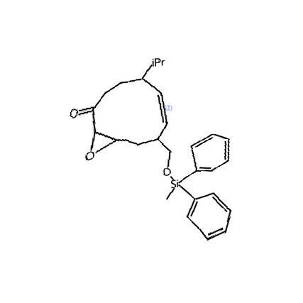 CC(C)C1/C=C\C(CO[Si](C)(c2ccccc2)c2ccccc2)CC2OC2C(=O)CC1